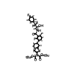 Cc1ccc(-c2ccn3nc(N(C(=O)OC(C)(C)C)C(=O)OC(C)(C)C)nc3c2)c(F)c1C(=O)NCC(O)C(F)(F)c1ccc(F)cc1